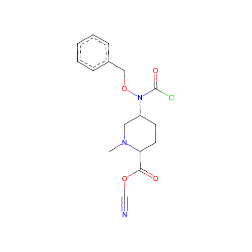 CN1CC(N(OCc2ccccc2)C(=O)Cl)CCC1C(=O)OC#N